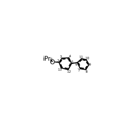 CC(C)Oc1ccc(-c2[c]cccc2)cc1